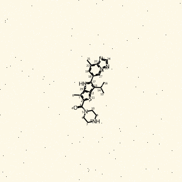 Cc1c(C(=O)N2CCNCC2)sc2c(C(C)C)c(-c3cc(C)c4ncnn4c3)[nH]c12